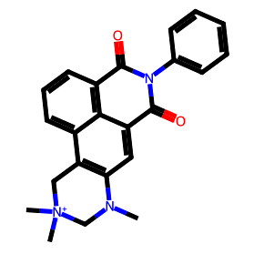 CN1C[N+](C)(C)Cc2c1cc1c3c(cccc23)C(=O)N(c2ccccc2)C1=O